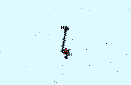 C=C1CC[C@@]2(O)C3Cc4ccc(CCCCCCCCCCCCCCCCOC(=O)O)c5c4[C@@]2(CCN3CC2CC2)[C@H]1O5